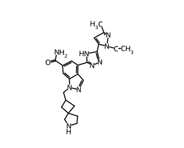 CCn1nc(C)cc1-c1nnc(-c2cc(C(N)=O)cc3c2cnn3CC2CC3(CCNC3)C2)[nH]1